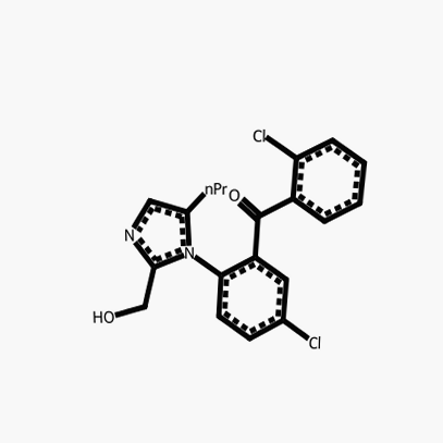 CCCc1cnc(CO)n1-c1ccc(Cl)cc1C(=O)c1ccccc1Cl